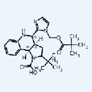 CC(C)(C)C(=O)OCn1ccnc1[C@@H]1Nc2ccccc2[C@H]2[C@@H]1CC(C(C)(C)C)N2C(=O)O